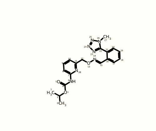 CC(C)OC(=O)Nc1cccc(CON=Cc2ccccc2-c2nnnn2C)n1